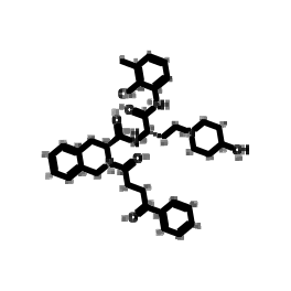 Cc1cccc(NC(=O)[C@H](CCN2CCC(O)CC2)NC(=O)[C@@H]2Cc3ccccc3CN2C(=O)CCC(=O)c2ccccc2)c1Cl